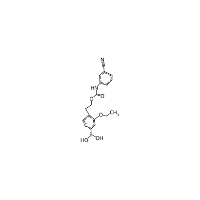 CCOc1cc(B(O)O)ccc1CCOC(=O)Nc1cccc(C#N)c1